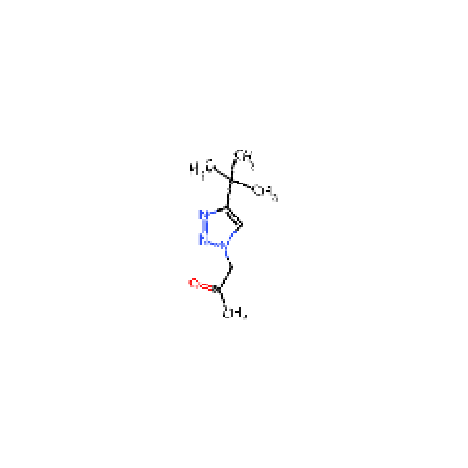 CC(=O)Cn1cc(C(C)(C)C)nn1